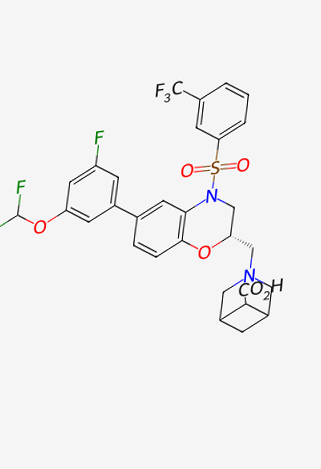 O=C(O)C1C2CC1CN(C[C@H]1CN(S(=O)(=O)c3cccc(C(F)(F)F)c3)c3cc(-c4cc(F)cc(OC(F)F)c4)ccc3O1)C2